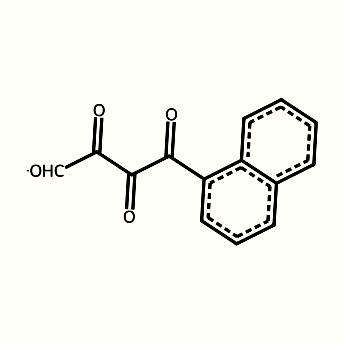 O=[C]C(=O)C(=O)C(=O)c1cccc2ccccc12